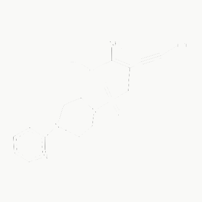 CCCC#CC(CS(=O)(=O)N1CCN(c2ccccn2)CC1)=C(N)OO